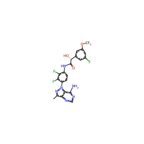 Cc1nn(-c2ccc(NC(=O)[C@H](O)c3cc(F)cc(OC(F)(F)F)c3)c(F)c2F)c2c(N)ncnc12